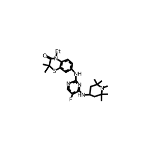 CCN1C(=O)C(C)(C)Sc2cc(Nc3ncc(F)c(NC4CC(C)(C)N(C)C(C)(C)C4)n3)ccc21